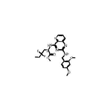 CCC(F)(F)C[C@@H](Nc1nc(NCc2ccc(OC)cc2OC)nc2cccnc12)C(=O)OC